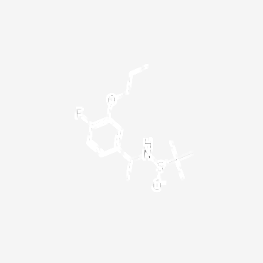 CCCOc1cc(C(C)N[S@@+]([O-])C(C)(C)C)ccc1F